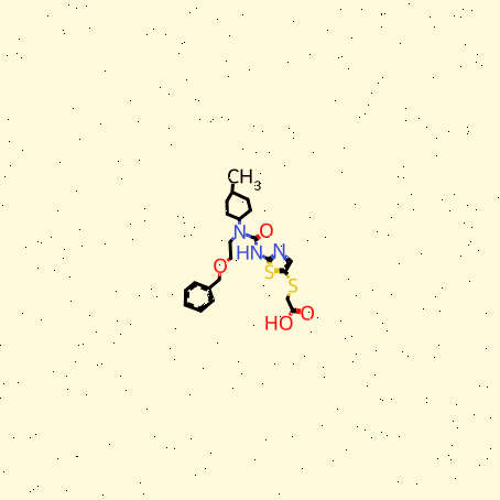 CC1CCC(N(CCOCc2ccccc2)C(=O)Nc2ncc(SCC(=O)O)s2)CC1